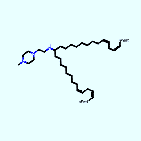 CCCCC/C=C\C/C=C\CCCCCCCCC(CCCCCCCC/C=C\C/C=C\CCCCC)NCCN1CCN(C)CC1